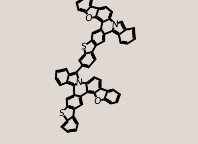 c1ccc2c(c1)cn1c3ccc4c5ccccc5oc4c3c3cc4sc5cc(-c6c7ccccc7c7c8cc9sc%10ccccc%10c9cc8c8c9oc%10ccccc%10c9ccc8n67)ccc5c4cc3c21